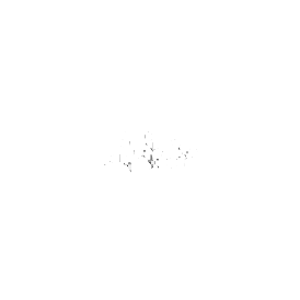 CC(C)(C)c1ccc(C(=C(C#N)c2ccc(N(c3ccccc3)c3ccc(-c4ccc5ccc6c7ccccc7n(-c7ccccc7)c6c5c4)c4nsnc34)cc2)c2ccc(C(C)(C)C)cc2)cc1